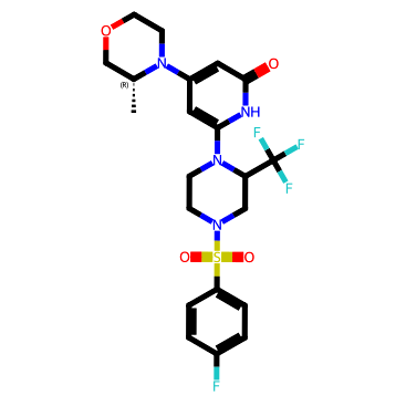 C[C@@H]1COCCN1c1cc(N2CCN(S(=O)(=O)c3ccc(F)cc3)CC2C(F)(F)F)[nH]c(=O)c1